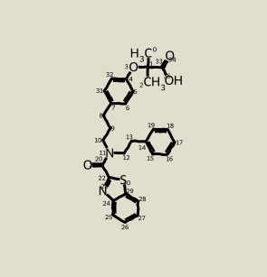 CC(C)(Oc1ccc(CCCN(CCc2ccccc2)C(=O)c2nc3ccccc3s2)cc1)C(=O)O